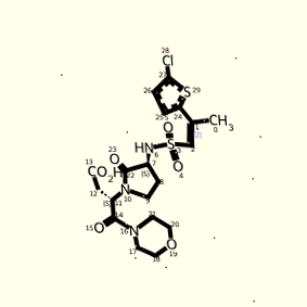 C/C(=C/S(=O)(=O)N[C@H]1CCN([C@@H](CC(=O)O)C(=O)N2CCOCC2)C1=O)c1ccc(Cl)s1